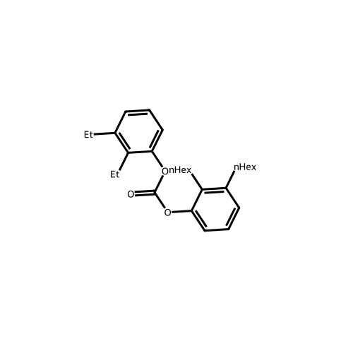 CCCCCCc1cccc(OC(=O)Oc2cccc(CC)c2CC)c1CCCCCC